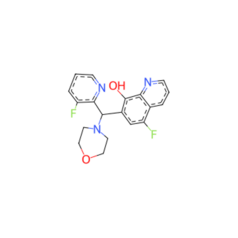 Oc1c(C(c2ncccc2F)N2CCOCC2)cc(F)c2cccnc12